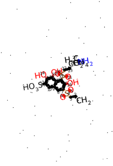 C.C=CCS(=O)(=O)c1cc2cc(S(=O)(=O)O)c(O)c(O)c2c(S(=O)(=O)CC=C)c1O.CN